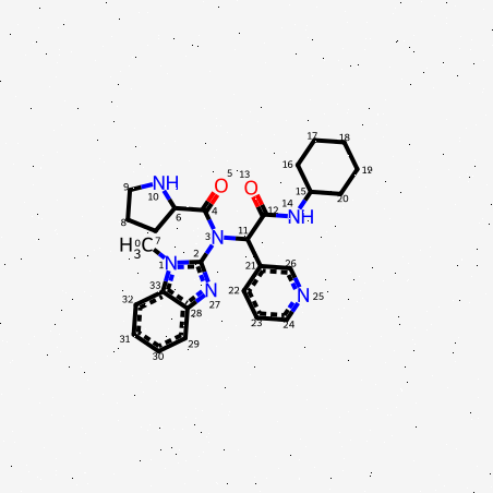 Cn1c(N(C(=O)C2CCCN2)C(C(=O)NC2CCCCC2)c2cccnc2)nc2ccccc21